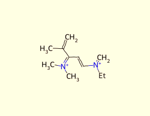 C=C(C)C(/C=C/[N+](=C)CC)=[N+](C)C